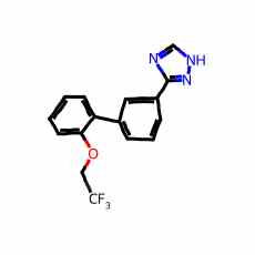 FC(F)(F)COc1ccccc1-c1cccc(-c2nc[nH]n2)c1